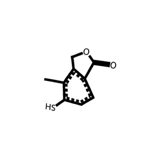 Cc1c(S)ccc2c1COC2=O